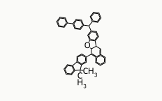 CC1(C)c2ccccc2-c2ccc(C3=c4ccccc4=CC4c5ccc(C(c6ccccc6)c6ccc(-c7ccccc7)cc6)cc5OC34)cc21